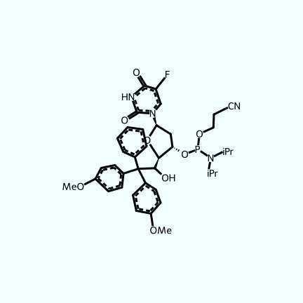 COc1ccc(C(c2ccccc2)(c2ccc(OC)cc2)C(O)[C@H]2O[C@@H](n3cc(F)c(=O)[nH]c3=O)C[C@@H]2OP(OCCC#N)N(C(C)C)C(C)C)cc1